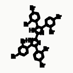 Brc1ccc(-c2nc(-c3nc(-c4ccc(Br)cc4Br)c(-c4ccc(Br)cc4Br)[nH]3)[nH]c2-c2ccc(Br)cc2Br)c(Br)c1